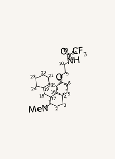 CNC1CCc2ccc(OCCNC(=O)C(F)(F)F)cc2C1CC1CCCCC1